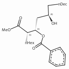 CCCCCCCCCCC[C@@H](O)C[C@H](OC(=O)c1ccccc1)[C@H](CCCCCC)C(=O)OC